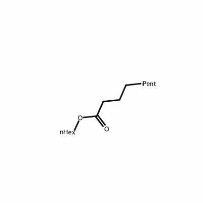 CCCCCCOC(=O)CCCC(C)CCC